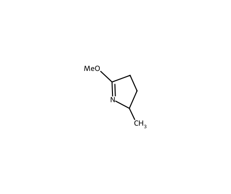 COC1=NC(C)CC1